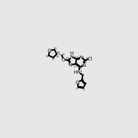 Clc1nc(NCc2ccco2)c2nc(OC[C@@H]3CCOC3)[nH]c2n1